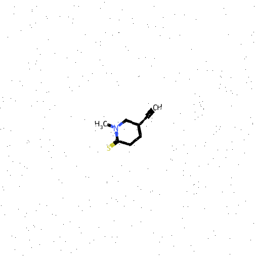 C#CC1CCC(=S)N(C)C1